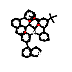 CC(C)(C)c1cc(-c2ccccc2N(c2cccc(-c3cccc4ccccc34)c2)c2ccccc2-c2cccc3cccc(-c4ccccc4)c23)cc(C(C)(C)C)c1